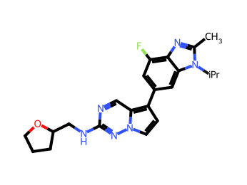 Cc1nc2c(F)cc(-c3ccn4nc(NCC5CCCO5)ncc34)cc2n1C(C)C